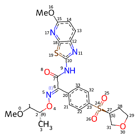 COC[C@@H](C)O/N=C(/C(=O)Nc1nc2ccc(OC)nc2s1)c1ccc(S(=O)(=O)[C@H]2CCOC2)cc1